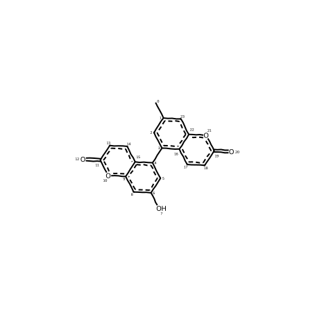 Cc1cc(-c2cc(O)cc3oc(=O)ccc23)c2ccc(=O)oc2c1